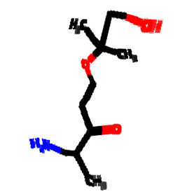 CC(N)C(=O)CCOC(C)(C)CO